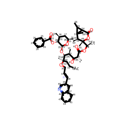 CC[C@@H](OC(=O)[C@H](C)C(=O)[C@H](C)[C@@H](O[C@@H]1O[C@H](C)C[C@H](C)[C@H]1OC(=O)c1ccccc1)[C@@](C)(CCC(C)=O)OC/C=C/c1cnc2ccccc2c1)[C@@]1(C)OC(=O)C2C(C)C2(C)[C@@H]1C